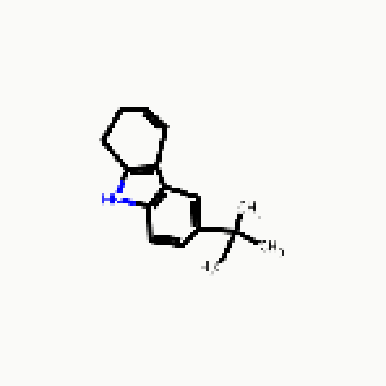 CC(C)(C)c1ccc2[nH]c3c(c2c1)C=CCC3